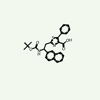 CC(C)(C)OC(=O)NC(Cc1nc(C(=O)O)c(-c2ccccc2)s1)c1ccc2ccccc2c1